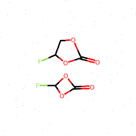 O=C1OC(F)O1.O=C1OCC(F)O1